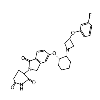 O=C1CCC(N2Cc3cc(O[C@H]4CCCC[C@H]4N4CC(Oc5cccc(F)c5)C4)ccc3C2=O)C(=O)N1